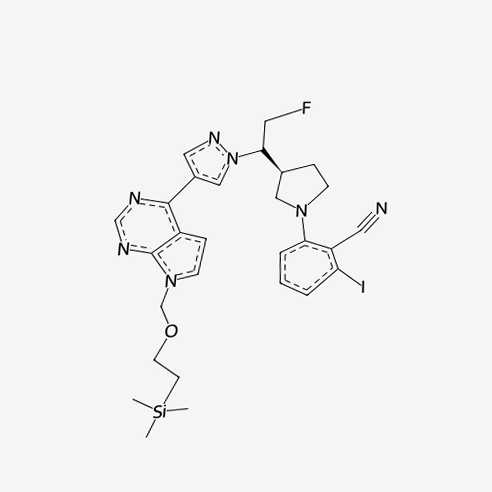 C[Si](C)(C)CCOCn1ccc2c(-c3cnn(C(CF)[C@H]4CCN(c5cccc(I)c5C#N)C4)c3)ncnc21